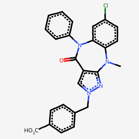 CN1c2ccc(Cl)cc2N(c2ccccc2)C(=O)c2cn(Cc3ccc(C(=O)O)cc3)nc21